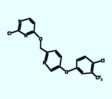 FC(F)(F)c1cc(Oc2ccc(COc3ccnc(Cl)n3)nc2)ccc1Cl